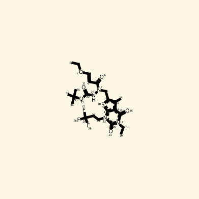 CCOC=CC(=O)N(Cc1sc2c(c1C)c(=O)n(CC)c(=O)n2CCC(F)(F)F)NC(=O)OC(C)(C)C